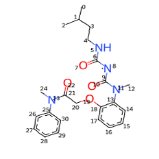 CC(C)CCNC(=O)[N]C(=O)N(C)c1ccccc1OCC(=O)N(C)c1ccccc1